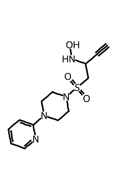 C#CC(CS(=O)(=O)N1CCN(c2ccccn2)CC1)NO